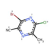 Cc1nc(C#N)c(Br)nc1Cl